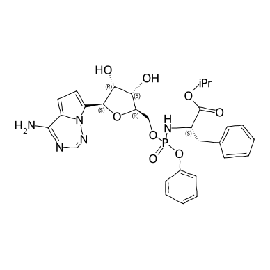 CC(C)OC(=O)[C@H](Cc1ccccc1)NP(=O)(OC[C@H]1O[C@@H](c2ccc3c(N)ncnn23)[C@H](O)[C@@H]1O)Oc1ccccc1